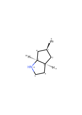 CC(C)[C@H]1C[C@H]2CCN[C@H]2C1